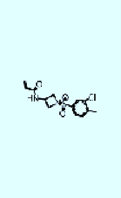 C=CC(=O)NC1CN(S(=O)(=O)c2ccc(C)c(Cl)c2)C1